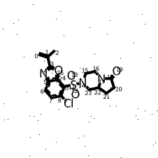 C=C(C)c1nc2ccc(Cl)c(S(=O)(=O)N3CCN4C(=O)CCC4C3)c2o1